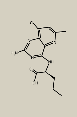 CCC[C@H](Nc1nc(N)nc2c(Cl)cc(C)nc12)C(=O)O